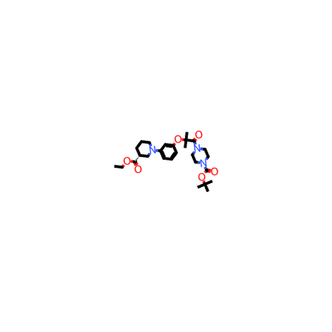 CCOC(=O)[C@@H]1CCCN(c2cccc(OC(C)(C)C(=O)N3CCN(C(=O)OC(C)(C)C)CC3)c2)C1